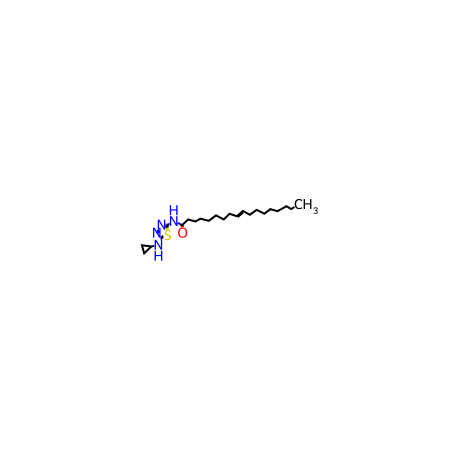 CCCCCCCCC=CCCCCCCCC(=O)Nc1nnc(NC2CC2)s1